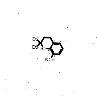 CCC1(CC)C[C]c2cccc(C#N)c2O1